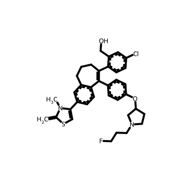 C=C1SC=C(c2ccc3c(c2)CCCC(c2ccc(Cl)cc2CO)=C3c2ccc(OC3CCN(CCCF)C3)cc2)N1C